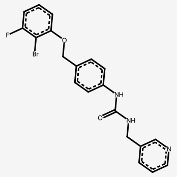 O=C(NCc1cccnc1)Nc1ccc(COc2cccc(F)c2Br)cc1